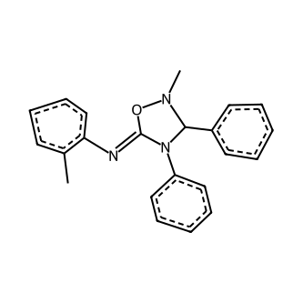 Cc1ccccc1N=C1ON(C)C(c2ccccc2)N1c1ccccc1